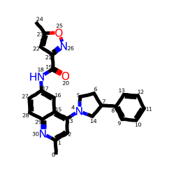 Cc1cc(N2CCC(c3ccccc3)C2)c2cc(NC(=O)c3cc(C)on3)ccc2n1